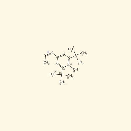 C/C=C\c1cc(C(C)(C)C)c(O)c(C(C)(C)C)c1